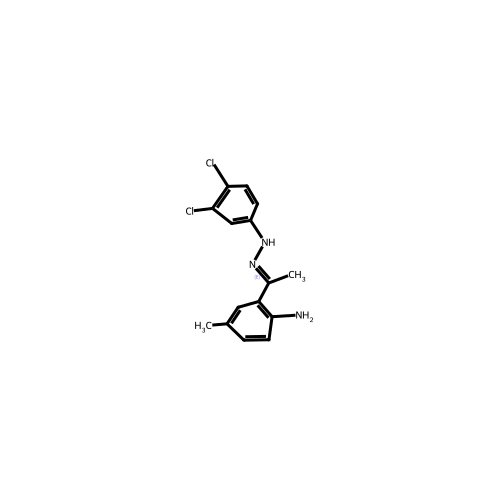 C/C(=N\Nc1ccc(Cl)c(Cl)c1)c1cc(C)ccc1N